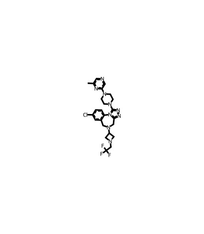 Cc1cncc(N2CCN(c3nnc4n3-c3ccc(Cl)cc3CN(C3CN(CC(F)(F)F)C3)C4)CC2)n1